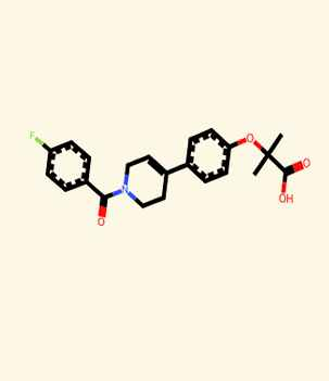 CC(C)(Oc1ccc(C2=CCN(C(=O)c3ccc(F)cc3)CC2)cc1)C(=O)O